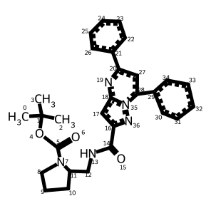 CC(C)(C)OC(=O)N1CCCC1CNC(=O)c1cc2nc(-c3ccccc3)cc(-c3ccccc3)n2n1